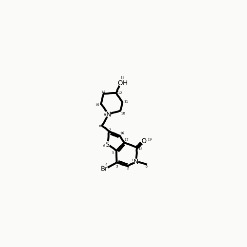 Cn1cc(Br)c2sc(CN3CCC(O)CC3)cc2c1=O